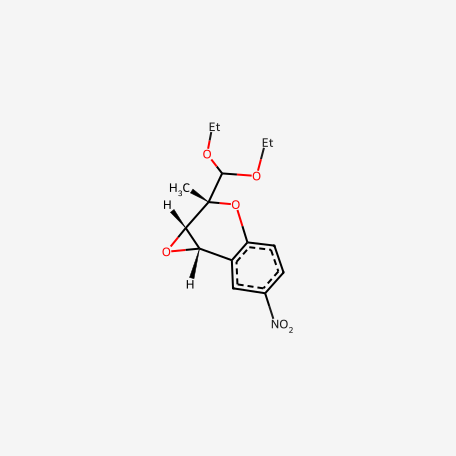 CCOC(OCC)[C@]1(C)Oc2ccc([N+](=O)[O-])cc2[C@@H]2O[C@@H]21